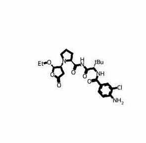 CCO[C@@H]1OC(=O)C[C@@H]1N1CCC[C@H]1C(=O)NC(=O)[C@@H](NC(=O)c1ccc(N)c(Cl)c1)C(C)(C)C